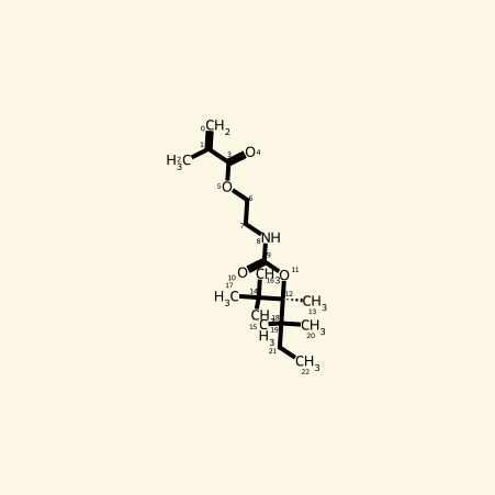 C=C(C)C(=O)OCCNC(=O)O[C@](C)(C(C)(C)C)C(C)(C)CC